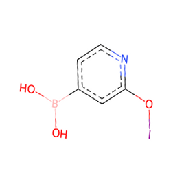 OB(O)c1ccnc(OI)c1